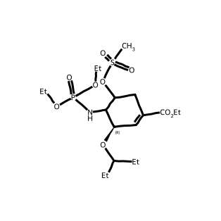 CCOC(=O)C1=C[C@@H](OC(CC)CC)C(NP(=O)(OCC)OCC)C(OS(C)(=O)=O)C1